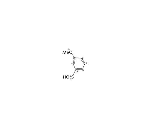 COc1c[c]cc(S(=O)(=O)O)c1